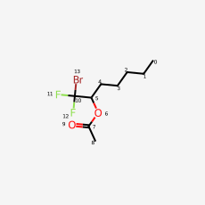 CCCCCC(OC(C)=O)C(F)(F)Br